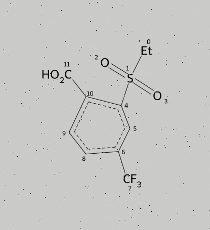 CCS(=O)(=O)c1cc(C(F)(F)F)ccc1C(=O)O